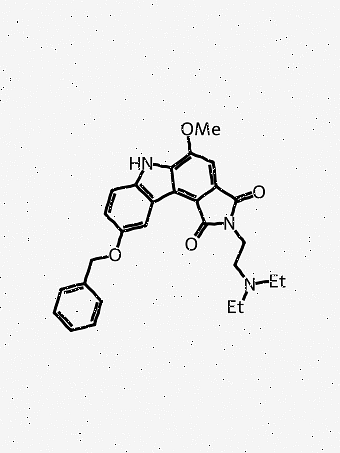 CCN(CC)CCN1C(=O)c2cc(OC)c3[nH]c4ccc(OCc5ccccc5)cc4c3c2C1=O